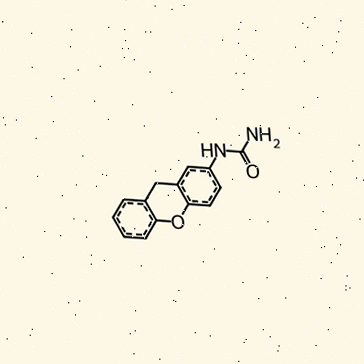 NC(=O)Nc1ccc2c(c1)Cc1ccccc1O2